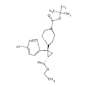 CCOC(=O)[C@H]1C[C@]1(c1ccc(Cl)cc1)C1CCN(C(=O)OC(C)(C)C)CC1